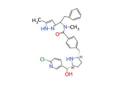 Cc1cc(C(Cc2ccccc2)N(C)C(=O)c2ccc(C[C@@H]3CC[C@H](C(O)c4ccc(Cl)nc4)N3)cc2)n[nH]1